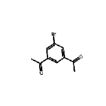 CC(=O)c1cc(Br)cc(C(C)=O)c1